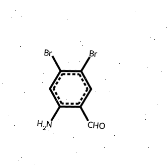 Nc1cc(Br)c(Br)cc1C=O